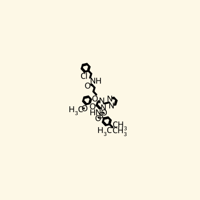 COc1ccccc1Oc1c(NS(=O)(=O)c2ccc(C(C)(C)C)cc2)nc(-c2ncccn2)nc1OCCCC(=O)NCCc1ccccc1Cl